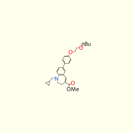 CCCCOCCOc1ccc(-c2ccc3c(c2)C=C(C(=O)OC)CCN3CC2CC2)cc1